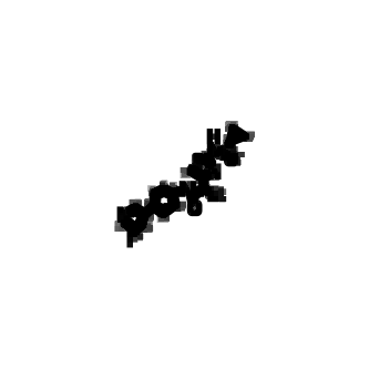 CCC(C(=O)Nc1ccc(-c2cncc(F)c2)cc1)c1csc(N[S+]([O-])C2CC2)n1